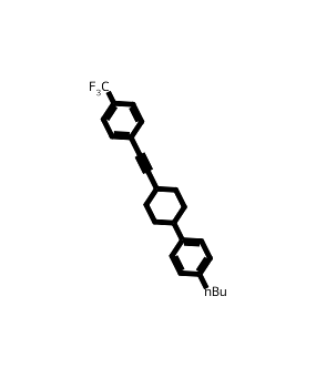 CCCCc1ccc(C2CCC(C#Cc3ccc(C(F)(F)F)cc3)CC2)cc1